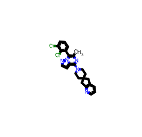 Cc1nc(N2CCC3(CC2)Cc2cccnc2C3)c2ccnn2c1-c1cccc(Cl)c1Cl